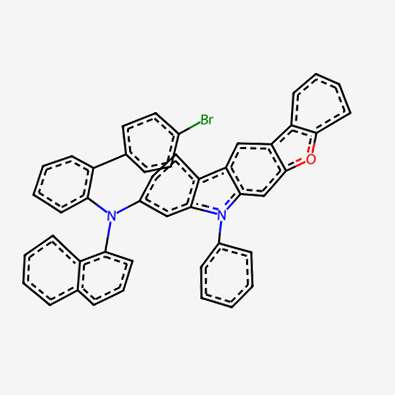 Brc1ccc(-c2ccccc2N(c2ccc3c4cc5c(cc4n(-c4ccccc4)c3c2)oc2ccccc25)c2cccc3ccccc23)cc1